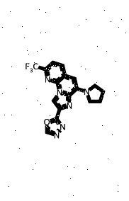 FC(F)(F)c1ccc2cc(N3CCCC3)c3nc(-c4nnco4)cn3c2n1